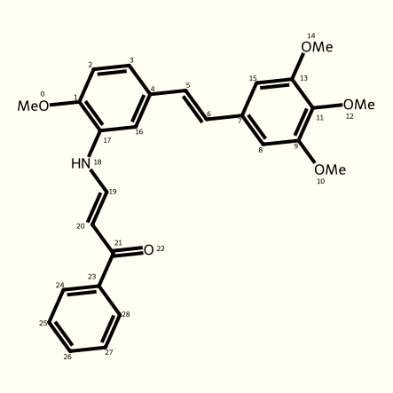 COc1ccc(C=Cc2cc(OC)c(OC)c(OC)c2)cc1NC=CC(=O)c1ccccc1